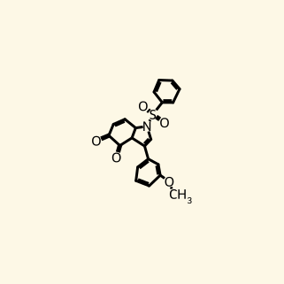 COc1cccc(C2=CN(S(=O)(=O)c3ccccc3)C3C=CC(=O)C(=O)C23)c1